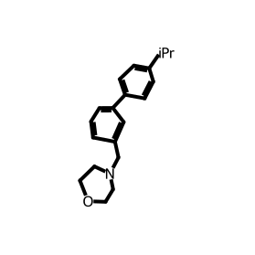 CC(C)c1ccc(-c2cccc(CN3CCOCC3)c2)cc1